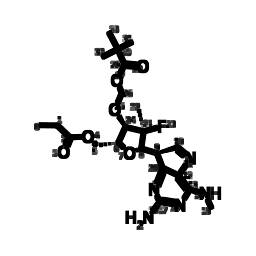 CCC(=O)OC[C@H]1O[C@@H]([C@H]2C=Nc3c(NC)nc(N)nc32)[C@](C)(F)[C@@H]1OCOC(=O)C(C)(C)C